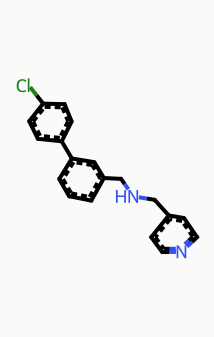 Clc1ccc(-c2cccc(CNCc3ccncc3)c2)cc1